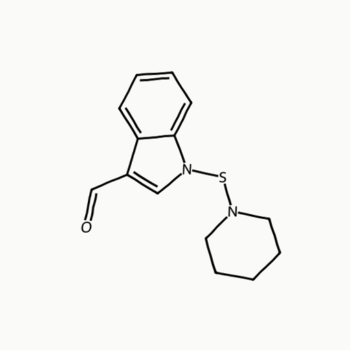 O=Cc1cn(SN2CCCCC2)c2ccccc12